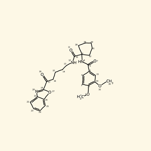 COc1ccc(C(=O)NC2(C(=O)NCCCCC(=O)c3nc4ccccc4o3)CCCCC2)cc1OC